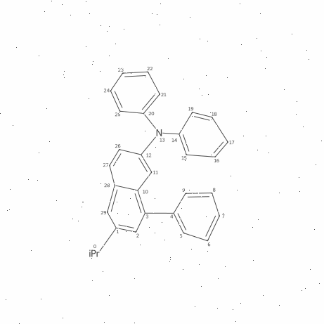 CC(C)c1cc(-c2ccccc2)c2cc(N(c3ccccc3)c3ccccc3)ccc2c1